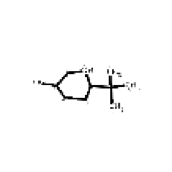 CC(C)(C)C1CCC(F)CN1